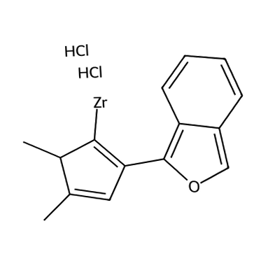 CC1=CC(c2occ3ccccc23)=[C]([Zr])C1C.Cl.Cl